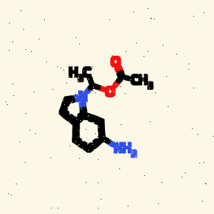 CC(=O)OC(C)n1ccc2ccc(N)cc21